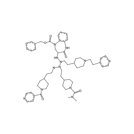 CN(C)C(=O)N1CCC(CCN([N]CCC2CCN(C(=O)c3ccncc3)CC2)N(CCC2CCN(CCc3ccncc3)CC2)NC2CN(C(=O)OCc3ccccc3)c3ccccc3NC2=O)CC1